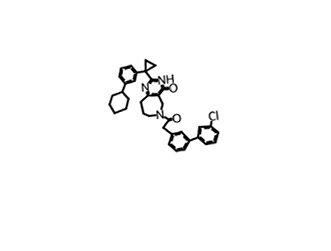 O=C(Cc1cccc(-c2cccc(Cl)c2)c1)N1CCCc2nc(C3(c4cccc(C5CCCCC5)c4)CC3)[nH]c(=O)c2C1